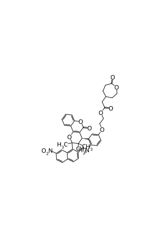 CC1(c2cccc3ccc([N+](=O)[O-])cc23)Oc2c(c(=O)oc3ccccc23)[C@@H](c2cc(OCCOC(=O)CC3CCOC(=O)CC3)ccc2N)C1(C)C